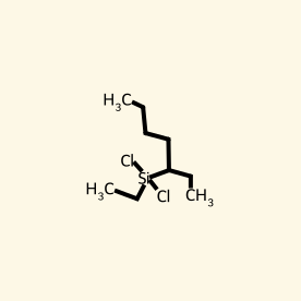 CCCCC(CC)[Si](Cl)(Cl)CC